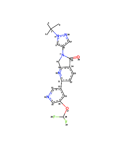 CC(C)(C)n1cc(N2Cc3nc(-c4cncc(OC(F)F)c4)ccc3C2=O)cn1